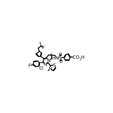 C[C@@H](F)CC1C=CC(C2=C3C[C@@](C)(CNS(=O)(=O)c4ccc(C(=O)O)cc4)CN3C(C3SC=CN3C)=N[C@H]2c2ccc(F)cc2Cl)=C1